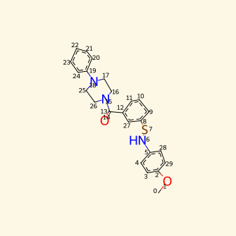 COc1ccc(NSc2cccc(C(=O)N3CCN(c4ccccc4)CC3)c2)cc1